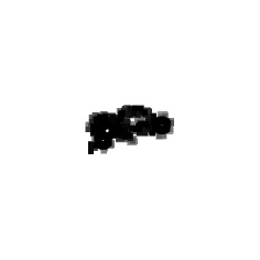 [2H]C1([2H])c2cc(F)ccc2C(C(C)C)C(CCN(C)CCCc2nc3ccccc3[nH]2)(OC(=O)COC)C1([2H])[2H]